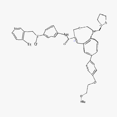 CCCCOCCOc1ccc(-c2ccc3c(c2)/C=C(/C(=O)Nc2ccc([S+]([O-])Cc4cnccc4CC)cc2)CCCN3C[C@H]2CCCO2)cc1